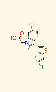 Cc1c(-c2csc3cc(Cl)ccc23)c2ccc(Cl)cc2n1CC(=O)O